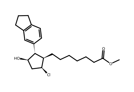 COC(=O)CCCCCC[C@@H]1[C@@H](c2ccc3c(c2)CCC3)[C@H](O)C[C@@H]1Cl